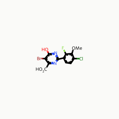 COc1c(Cl)ccc(-c2nc(O)c(Br)c(C(=O)O)n2)c1F